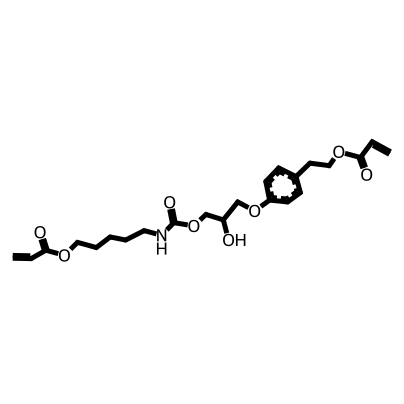 C=CC(=O)OCCCCCNC(=O)OCC(O)COc1ccc(CCOC(=O)C=C)cc1